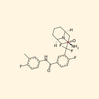 Cc1cc(NC(=O)c2ccc(F)c(C(F)(F)C(=O)N3[C@@H]4CCC[C@H]3C[C@@H](N)C4)c2)ccc1F